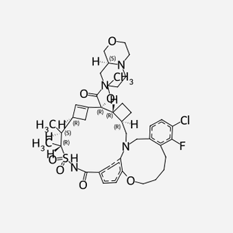 CCO[C@@]1(C(=O)N2CCN3CCOC[C@@H]3C2)C2=C[C@@H](C2)[C@H](C)[C@@H](C)S(=O)(=O)NC(=O)c2ccc3c(c2)N(Cc2ccc(Cl)c(F)c2CCCCO3)C[C@@H]2CC[C@H]21